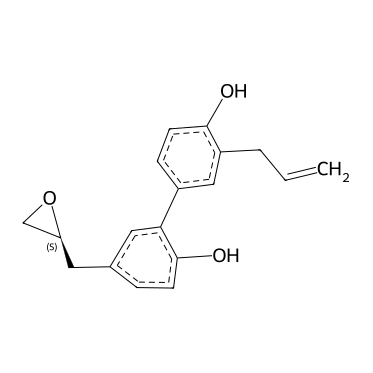 C=CCc1cc(-c2cc(C[C@H]3CO3)ccc2O)ccc1O